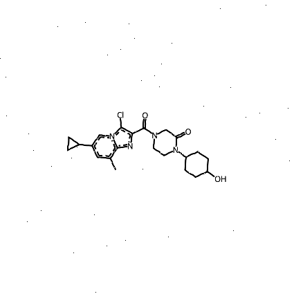 Cc1cc(C2CC2)cn2c(Cl)c(C(=O)N3CCN(C4CCC(O)CC4)C(=O)C3)nc12